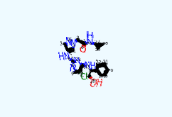 O=C(Cn1cc(Nc2ncc(Cl)c(N[C@H](CO)c3ccccc3)n2)cn1)NC1CC1